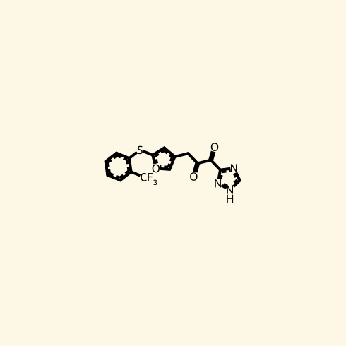 O=C(Cc1coc(Sc2ccccc2C(F)(F)F)c1)C(=O)c1nc[nH]n1